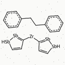 [CH]1=C[C]([Zr][C]2=[Sb][SbH][CH]=C2)=[Sb][SbH]1.c1ccc(CCc2ccccc2)cc1